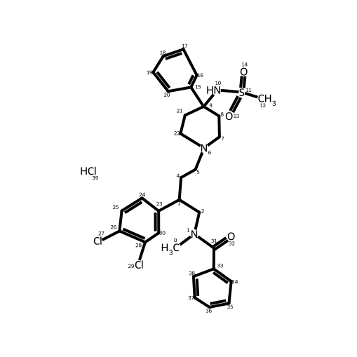 CN(CC(CCN1CCC(NS(C)(=O)=O)(c2ccccc2)CC1)c1ccc(Cl)c(Cl)c1)C(=O)c1ccccc1.Cl